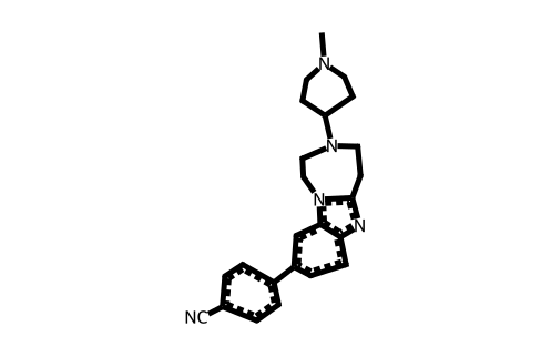 CN1CCC(N2CCc3nc4ccc(-c5ccc(C#N)cc5)cc4n3CC2)CC1